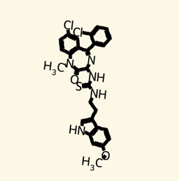 COc1ccc2c(CCNC(=S)NC3N=C(c4ccccc4Cl)c4cc(Cl)ccc4N(C)C3=O)c[nH]c2c1